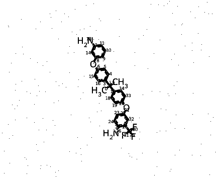 CC(C)(c1ccc(Oc2cccc(N)c2)cc1)c1ccc(Oc2ccc(N)c(C(F)(F)F)c2)cc1